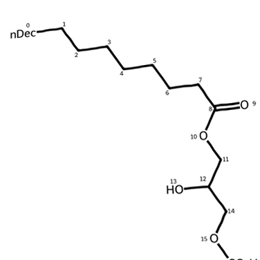 CCCCCCCCCCCCCCCCCC(=O)OCC(O)COC(=O)O